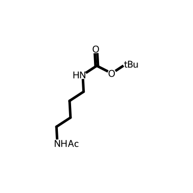 CC(=O)NCCCCNC(=O)OC(C)(C)C